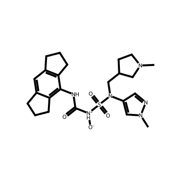 CN1CCC(CN(c2cnn(C)c2)S(=O)(=O)[NH+]([O-])C(=O)Nc2c3c(cc4c2CCC4)CCC3)C1